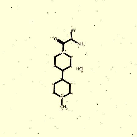 CC(C)[C@@H](N)C(=O)N1CCC(C2CCN(C)CC2)CC1.Cl